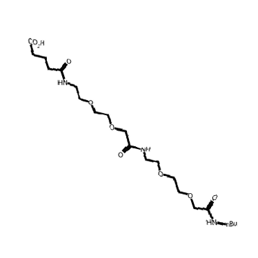 CCCCNC(=O)COCCOCCNC(=O)COCCOCCNC(=O)CCCC(=O)O